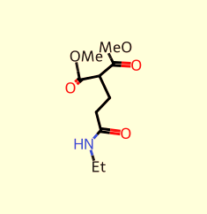 CCNC(=O)CCC(C(=O)OC)C(=O)OC